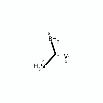 BC[SiH3].[V]